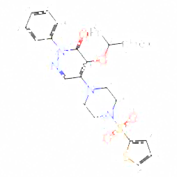 CCCCCCC(CCC)Oc1c(N2CCN(S(=O)(=O)c3cccs3)CC2)cnn(-c2ccccc2)c1=O